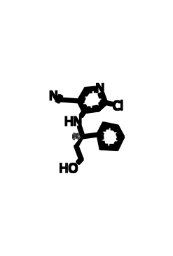 N#Cc1cnc(Cl)cc1N[C@H](CCO)c1ccccc1